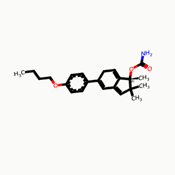 CCCCOc1ccc(C2=CC3=CC(C)(C)[C@@](C)(OC(N)=O)C3=CC2)cc1